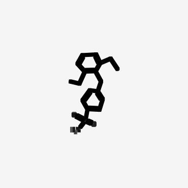 CCc1cccc(CC)c1Cc1ccc(S(N)(=O)=O)cc1